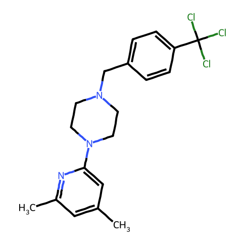 Cc1cc(C)nc(N2CCN(Cc3ccc(C(Cl)(Cl)Cl)cc3)CC2)c1